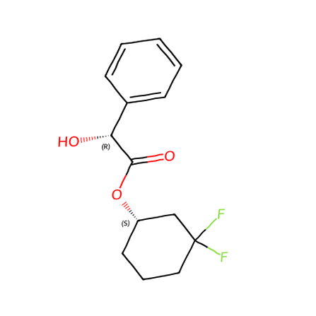 O=C(O[C@H]1CCCC(F)(F)C1)[C@H](O)c1ccccc1